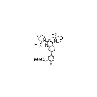 COCc1cc(-c2ccc3c(N4CCOC[C@@H]4C)nc(N4CCOC[C@@H]4C)nc3n2)ccc1F